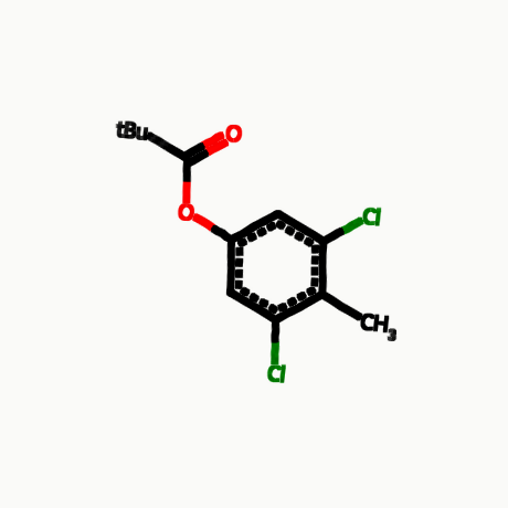 Cc1c(Cl)cc(OC(=O)C(C)(C)C)cc1Cl